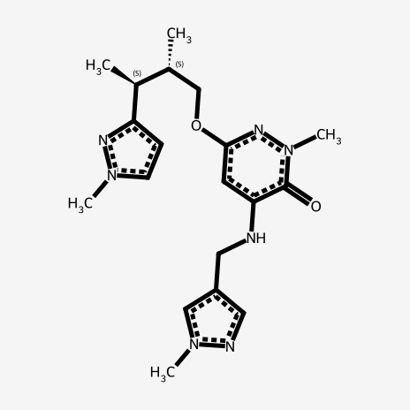 C[C@H](COc1cc(NCc2cnn(C)c2)c(=O)n(C)n1)[C@H](C)c1ccn(C)n1